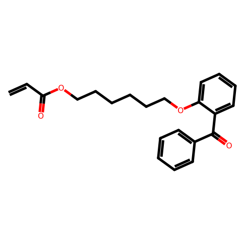 C=CC(=O)OCCCCCCOc1ccccc1C(=O)c1ccccc1